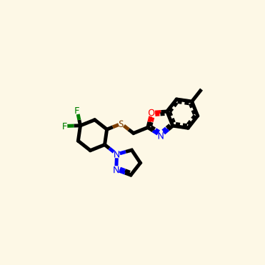 Cc1ccc2nc(CSC3CC(F)(F)CCC3N3CCC=N3)oc2c1